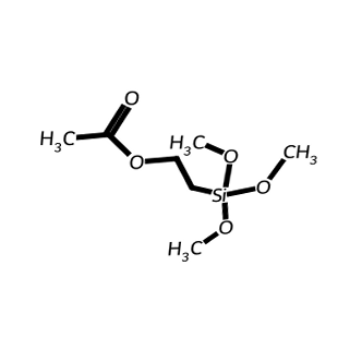 CO[Si](CCOC(C)=O)(OC)OC